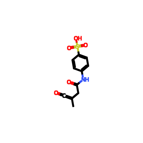 CC(=C=O)CC(=O)Nc1ccc(S(=O)(=O)O)cc1